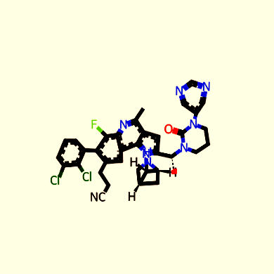 Cc1nc2c(F)c(-c3cccc(Cl)c3Cl)c(CCC#N)cc2c2c1cc([C@@H](C)N1CCCN(c3cncnc3)C1=O)n2[C@H]1[C@H]2CN[C@@H]1C2